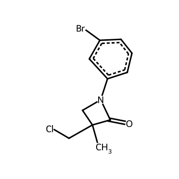 CC1(CCl)CN(c2cccc(Br)c2)C1=O